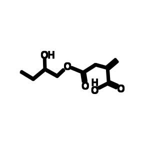 C=C(CC(=O)OCC(O)CC)C(=O)O